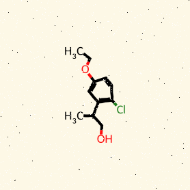 CCOc1ccc(Cl)c([C](C)CO)c1